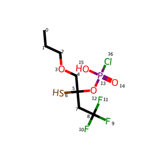 CCCOCC(S)(CC(F)(F)F)OP(=O)(O)Cl